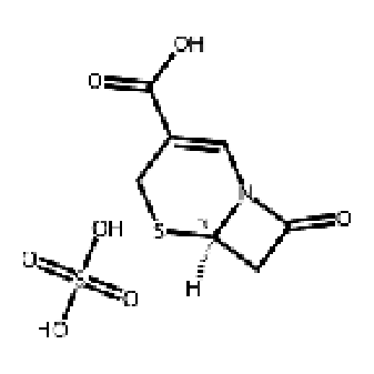 O=C(O)C1=CN2C(=O)C[C@H]2SC1.O=S(=O)(O)O